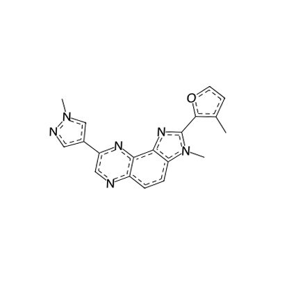 Cc1ccoc1-c1nc2c3nc(-c4cnn(C)c4)cnc3ccc2n1C